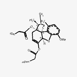 CCCCCCCCCCCC(=O)OC1=CC[C@@]2(OC(=O)CCCCCCCCCCC)[C@@H](C)N(C)CC[C@@]23c2c(C)ccc(OC)c2O[C@@H]13